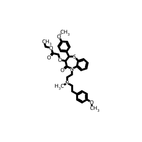 CCOC(=O)COC1C(=O)N(CCN(C)CCc2ccc(OC)cc2)c2ccccc2SC1c1ccc(OC)cc1